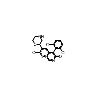 O=c1ncn2nc(Cl)c(C3CNCCO3)cc2c1-c1c(Cl)cccc1Cl